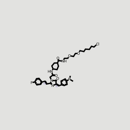 CN(C)c1ccc(/C=C2N=C(/C=C/c3ccc(F)cc3)N(CC(=O)NC3CCC(C(=O)NCCOCCOCCCCCCCl)CC3)C/2=O)cc1